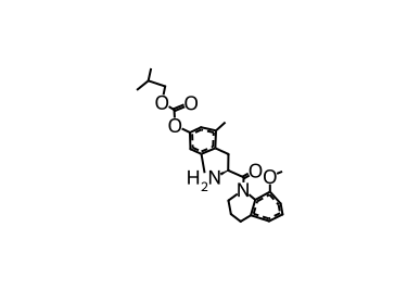 COc1cccc2c1N(C(=O)[C@@H](N)Cc1c(C)cc(OC(=O)OCC(C)C)cc1C)CCC2